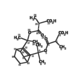 CC(C(=O)O)C(=O)OC(C)(C)C1C2C=CC(CC2)C1C(C)(C)OC(=O)C(C)C(=O)O